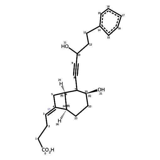 O=C(O)CC/C=C1/C[C@H]2C(C#CC(O)CCc3ccccc3)[C@@H](O)CC[C@@H]12